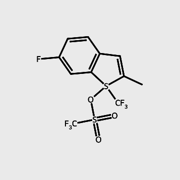 CC1=Cc2ccc(F)cc2S1(OS(=O)(=O)C(F)(F)F)C(F)(F)F